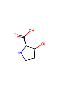 O=C(O)[C@@H]1NCCC1O